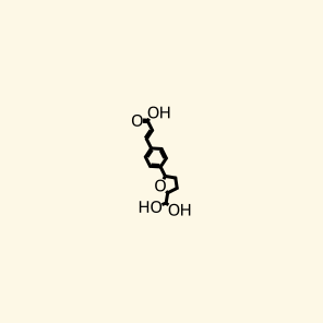 O=C(O)C=Cc1ccc(C2CCC(C(O)O)O2)cc1